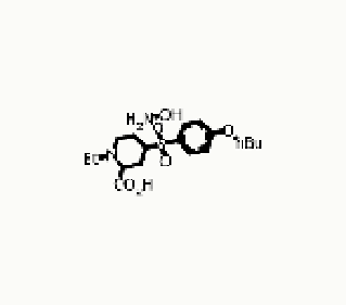 CCCCOc1ccc(S(=O)(=O)C2CCN(CC)C(C(=O)O)C2)cc1.NO